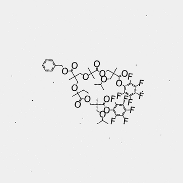 CCC(C)(OCC(C)(COC(C)(C)C(=O)OCC(C)(COC(C)C)C(=O)Oc1c(F)c(F)c(F)c(F)c1F)C(=O)OCc1ccccc1)C(=O)OCC(C)(COC(C)C)C(=O)Oc1c(F)c(F)c(F)c(F)c1F